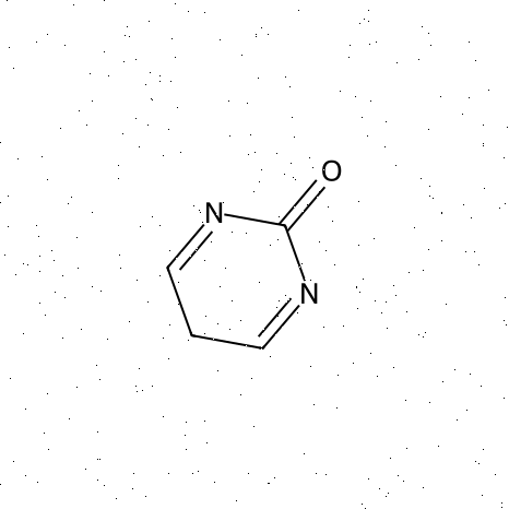 O=C1N=CCC=N1